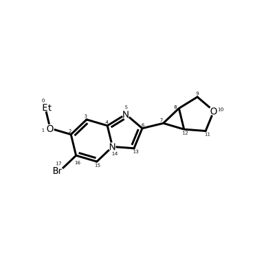 CCOc1cc2nc(C3C4COCC43)cn2cc1Br